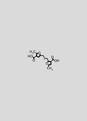 Cc1cc(C(=O)O)c(CSCc2cc(C(=O)O)c(C)o2)o1